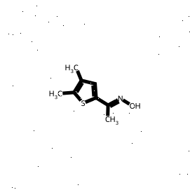 CC(=NO)c1cc(C)c(C)s1